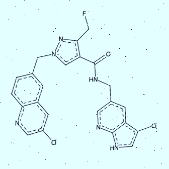 O=C(NCc1cnc2[nH]cc(Cl)c2c1)c1cn(Cc2ccc3ncc(Cl)cc3c2)nc1CF